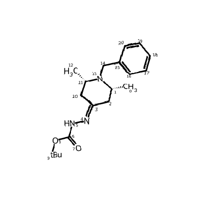 C[C@@H]1C/C(=N/NC(=O)OC(C)(C)C)C[C@H](C)N1Cc1ccccc1